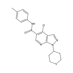 Cc1ccc(NC(=O)c2cnc3c(cnn3C3CCSCC3)c2Cl)cc1